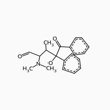 CC(C(C=O)N(C)C)C([O])(C(=O)c1ccccc1)c1ccccc1